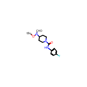 CC(C)(C)ON(C=O)C1CCN(C(=O)Nc2ccc(F)cc2)CC1